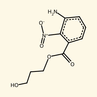 Nc1cccc(C(=O)OCCCO)c1[N+](=O)[O-]